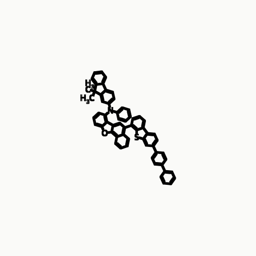 CC1(C)c2ccccc2-c2ccc(N(c3ccccc3)c3cccc4oc5c6ccccc6c(-c6cccc7c6sc6cc(-c8ccc(-c9ccccc9)cc8)ccc67)cc5c34)cc21